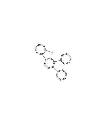 [C]1c2ccccc2-c2ccc(-c3ccccc3)c(-c3ccccc3)c21